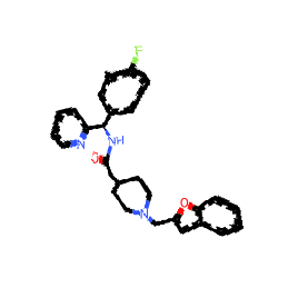 O=C(N[C@H](c1ccc(F)cc1)c1ccccn1)C1CCN(Cc2cc3ccccc3o2)CC1